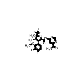 COc1c([C@@H]2[C@@H](C)[C@@](C)(C(F)(F)F)O[C@H]2C(=O)Nc2cc(C(N)=O)ncn2)ccc(F)c1F